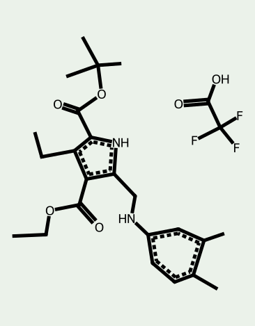 CCOC(=O)c1c(CNc2ccc(C)c(C)c2)[nH]c(C(=O)OC(C)(C)C)c1CC.O=C(O)C(F)(F)F